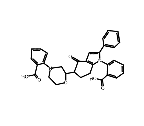 O=C(O)c1ccccc1N1CCOC(C2CCc3c(cc(-c4ccccc4)n3-c3ccccc3C(=O)O)C2=O)C1